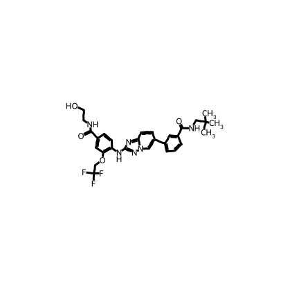 CC(C)(C)CNC(=O)c1cccc(-c2ccc3nc(Nc4ccc(C(=O)NCCO)cc4OCC(F)(F)F)nn3c2)c1